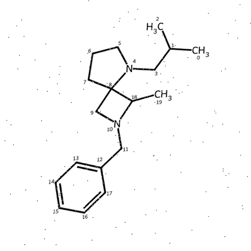 CC(C)CN1CCCC12CN(Cc1ccccc1)C2C